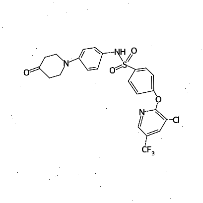 O=C1CCN(c2ccc(NS(=O)(=O)c3ccc(Oc4ncc(C(F)(F)F)cc4Cl)cc3)cc2)CC1